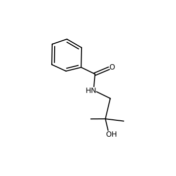 CC(C)(O)CNC(=O)c1ccccc1